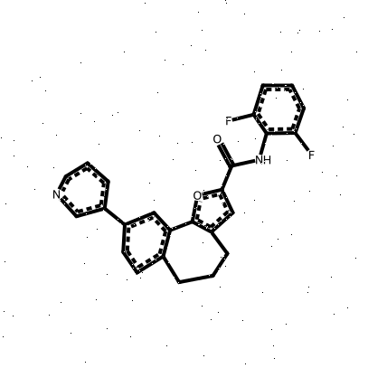 O=C(Nc1c(F)cccc1F)c1cc2c(o1)-c1cc(-c3cccnc3)ccc1CCC2